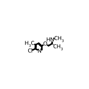 CN[C@H](C)COc1cnc(Cl)c(C)c1